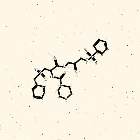 O=C(CNC(=O)C(CS(=O)(=O)Cc1ccccc1)NC(=O)N1CCOCC1)CNS(=O)(=O)c1ccccc1